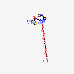 CCCN(CCCN/C(=N\c1cccc(C#N)c1)NCCOCCOCCOCCOCCOCCOCCOCCOCCOCCO)C(=O)C1=Cc2sccc2N=C(N)C1